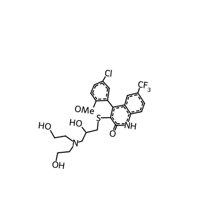 COc1ccc(Cl)cc1-c1c(SCC(O)CN(CCO)CCO)c(=O)[nH]c2ccc(C(F)(F)F)cc12